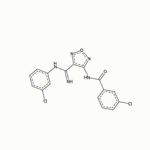 N=C(Nc1cccc(Cl)c1)c1nonc1NC(=O)c1cccc(Cl)c1